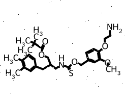 COc1cc(COC(=S)NCC(COC(=O)C(C)(C)C)Cc2ccc(C)c(C)c2)ccc1OCCN